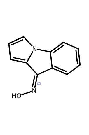 O/N=C1/c2ccccc2-n2cccc21